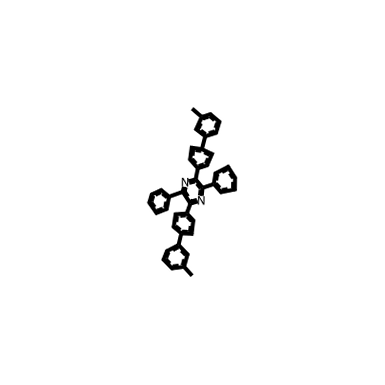 Cc1cccc(-c2ccc(-c3nc(-c4ccccc4)c(-c4ccc(-c5cccc(C)c5)cc4)nc3-c3ccccc3)cc2)c1